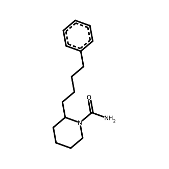 NC(=O)N1CCCCC1CCCCc1ccccc1